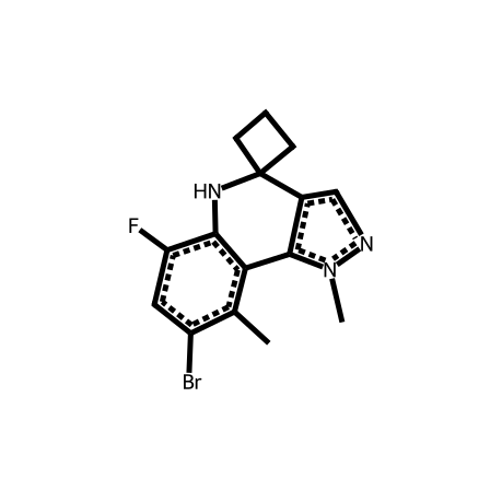 Cc1c(Br)cc(F)c2c1-c1c(cnn1C)C1(CCC1)N2